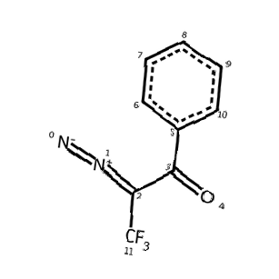 [N-]=[N+]=C(C(=O)c1ccccc1)C(F)(F)F